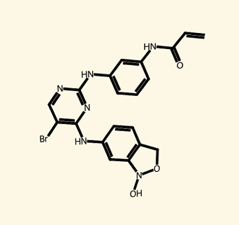 C=CC(=O)Nc1cccc(Nc2ncc(Br)c(Nc3ccc4c(c3)N(O)OC4)n2)c1